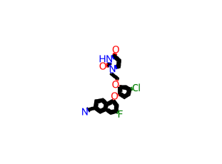 N#Cc1ccc2c(Oc3ccc(Cl)cc3OCCn3ccc(=O)[nH]c3=O)cc(F)cc2c1